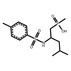 Cc1ccc(S(=O)(=O)NC(CC(C)C)CP(C)(=O)O)cc1